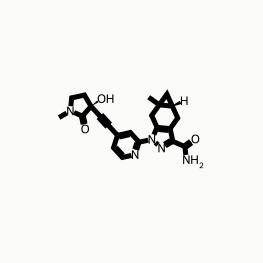 CN1CC[C@@](O)(C#Cc2ccnc(-n3nc(C(N)=O)c4c3CC3(C)C[C@@H]3C4)c2)C1=O